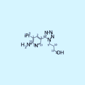 CC(C)c1cc(-c2nnnn2CCCO)cnc1N